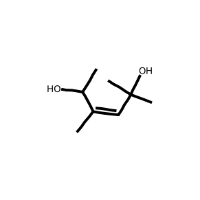 CC(=CC(C)(C)O)C(C)O